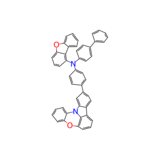 c1ccc(-c2ccc(N(c3ccc(-c4ccc5c6cccc7c6n(c5c4)-c4ccccc4O7)cc3)c3cccc4oc5ccccc5c34)cc2)cc1